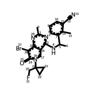 Cc1nc(NC(C)c2cccc(C#N)c2C)c2cn(C3(CF)CC3)c(=O)c(Br)c2n1